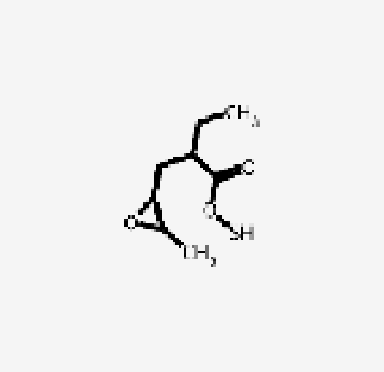 CCC(CC1OC1C)C(=O)OS